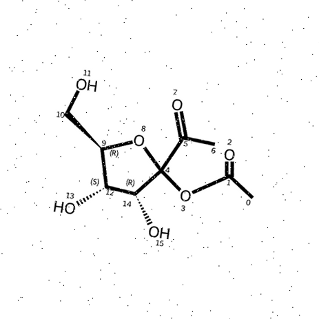 CC(=O)OC1(C(C)=O)O[C@H](CO)[C@@H](O)[C@H]1O